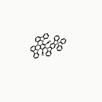 N#Cc1c(-n2c3ccccc3c3cc4c(cc32)-c2ccccc2S4(c2ccccc2)c2ccccc2)c(C#N)c2c3c1-n1c4ccccc4c4cccc(c41)B3c1cccc3c4ccccc4n-2c13